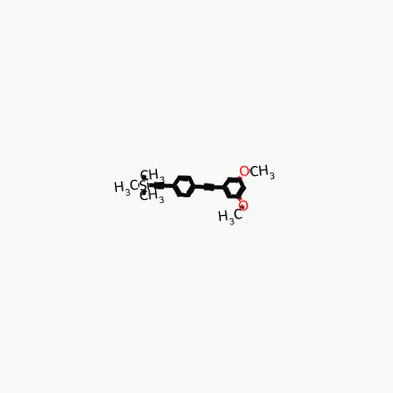 COc1cc(C#Cc2ccc(C#C[Si](C)(C)C)cc2)cc(OC)c1